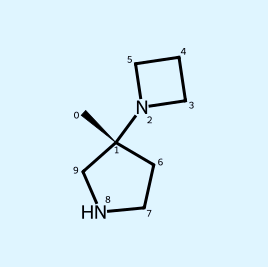 C[C@@]1(N2CCC2)CCNC1